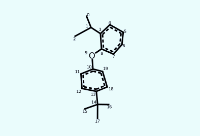 CC(C)c1ccccc1Oc1ccc(C(C)(C)C)cc1